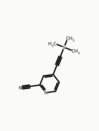 C[Si](C)(C)C#Cc1ccnc(C#N)c1